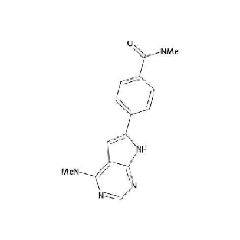 CNC(=O)c1ccc(-c2cc3c(NC)ncnc3[nH]2)cc1